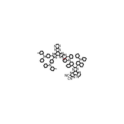 Cc1cccc(N(c2ccccc2)c2ccc(-c3nc4c(nc3-c3ccc(N(c5ccccc5)c5cccc(C)c5)cc3)c3nc5ncc(-c6ccccc6N(c6ccccc6)c6ccc(-c7nc8c9nc(C#N)c(C#N)nc9c9nccnc9c8nc7-c7ccc(N(c8ccccc8)c8ccccc8)c8ccccc78)c7ccccc67)nc5nc3c3nc5nccnc5nc43)cc2)c1